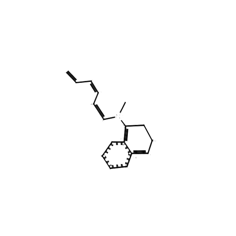 C=C/C=C\C=C/N(C)C1=c2ccccc2=CCC1